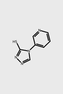 Sc1nncn1-c1cccnc1